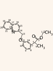 CCOC(=O)C(C)c1cccc(OCc2ccc3ccccc3n2)c1